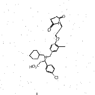 Cc1cc(CN(CC2CCCCC2)C(CC(=O)O)c2ccc(Cl)cc2)ccc1OCCN1C(=O)CCC1=O